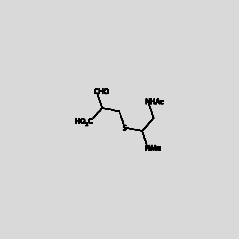 CNC(CNC(C)=O)SCC(C=O)C(=O)O